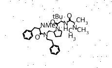 CN[C@H](Cc1ccccc1)C(=O)N(CCc1ccccc1)C[C@@H]1CCCN1C(=O)[C@@H](NC(=O)[C@H](C)N(C)C)C(C)(C)C